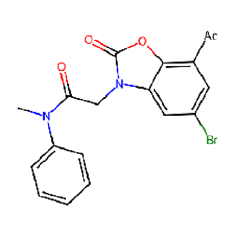 CC(=O)c1cc(Br)cc2c1oc(=O)n2CC(=O)N(C)c1ccccc1